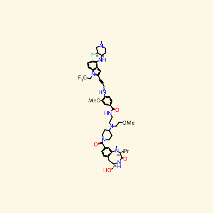 COCCN(CCNC(=O)c1ccc(NCC#Cc2cc3c(N[C@@H]4CCN(C)C[C@@H]4F)cccc3n2CC(F)(F)F)c(OC)c1)C1CCN(C(=O)c2ccc3c(c2)N(C)[C@@H](C(C)C)C(=O)N[C@H](CO)C3)CC1